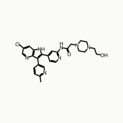 Cc1ccc(-c2c(-c3ccnc(NC(=O)CN4CCN(CCO)CC4)c3)[nH]c3cc(Cl)cnc23)cn1